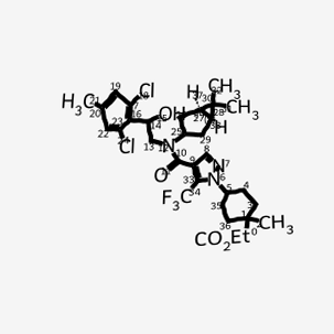 CCOC(=O)C1(C)CCC(n2ncc(C(=O)N(CC(O)c3c(Cl)cc(C)cc3Cl)C3C[C@@H]4[C@H](C3)C4(C)C)c2C(F)(F)F)CC1